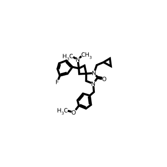 COc1ccc(CN2CC3(CC(c4cccc(F)c4)(N(C)C)C3)N(CC3CC3)C2=O)cc1